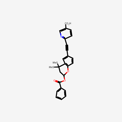 CSC1(SC)CC(OC(=O)c2ccccc2)Oc2ccc(C#Cc3ccc(C(=O)O)cn3)cc21